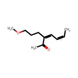 C/C=C\C=C(CCCOC)C(C)=O